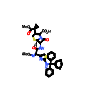 CO/N=C(\C(=O)N[C@@H]1C(=O)N2C(C(=O)O)=C(C3(C(=O)OC)CC3)CS[C@H]12)c1csc(NC(c2ccccc2)(c2ccccc2)c2ccccc2)n1